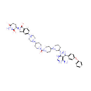 Nc1ncnc2c1c(-c1ccc(Oc3ccccc3)cc1)nn2[C@@H]1CCCN(C2CCN(C(=O)N3CCC(N4CCN(c5ccc6c(c5)CN(C5CCC(=O)NC5=O)C6=O)CC4)CC3)CC2)C1